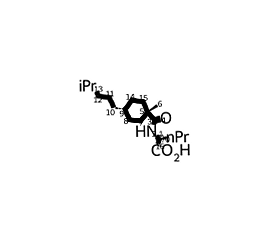 CCC[C@H](NC(=O)[C@]1(C)CC[C@H](CCCC(C)C)CC1)C(=O)O